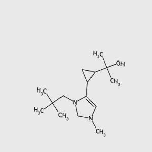 CN1C=C(C2CC2C(C)(C)O)N(CC(C)(C)C)C1